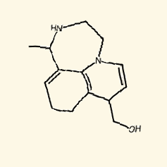 CC1NCCN2C=CC(CO)C3=C2C1=CCC3